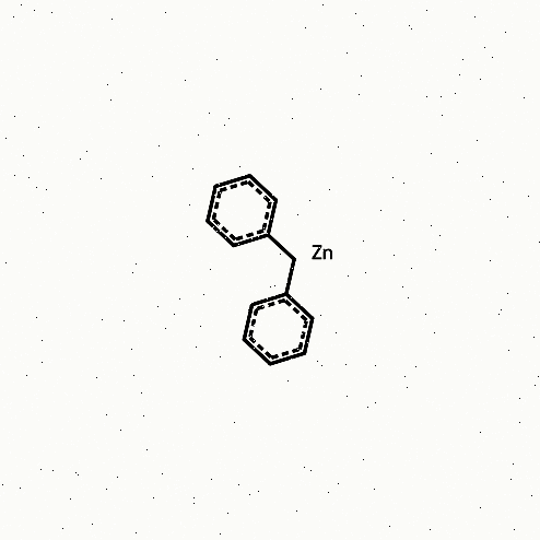 [Zn].c1ccc(Cc2ccccc2)cc1